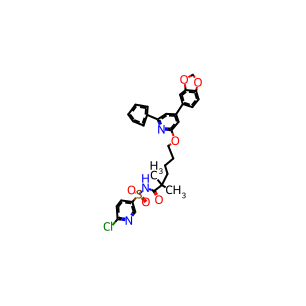 CC(C)(CCCCOc1cc(-c2ccc3c(c2)OCO3)cc(-c2ccccc2)n1)C(=O)NS(=O)(=O)c1ccc(Cl)nc1